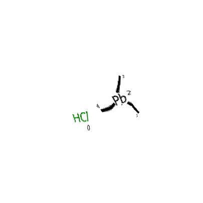 Cl.[CH3][Pb]([CH3])[CH3]